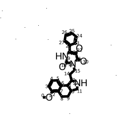 COc1cccc2c1CCC1CNC(CCn3c(=O)[nH]c4c(oc5ccccc54)c3=O)C21